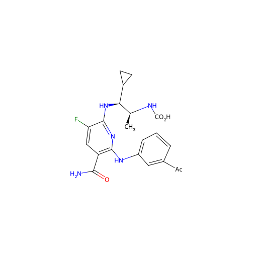 CC(=O)c1cccc(Nc2nc(N[C@@H](C3CC3)[C@H](C)NC(=O)O)c(F)cc2C(N)=O)c1